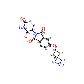 O=C1CCC(N2C(=O)c3ccc(OC4CC5(CNC5)C4)cc3C2=O)C(=O)N1